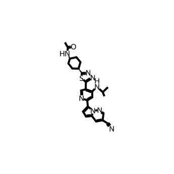 CC(=O)N[C@H]1CC[C@@H](c2nnc(-c3cnc(-c4ccc5cc(C#N)cnn45)cc3NC(C)C)s2)CC1